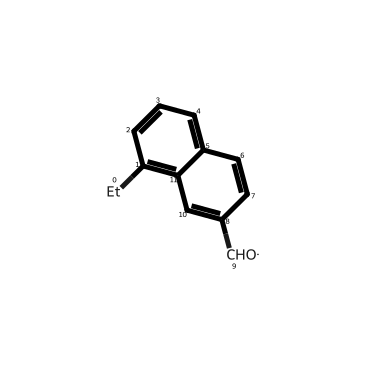 CCc1cccc2ccc([C]=O)cc12